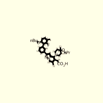 CCCCOc1ccc(C)c(F)c1-c1cccc(-c2cc3c(N4CCC(C)(OCCC)CC4)c(CC(=O)O)c(C)cn3n2)c1